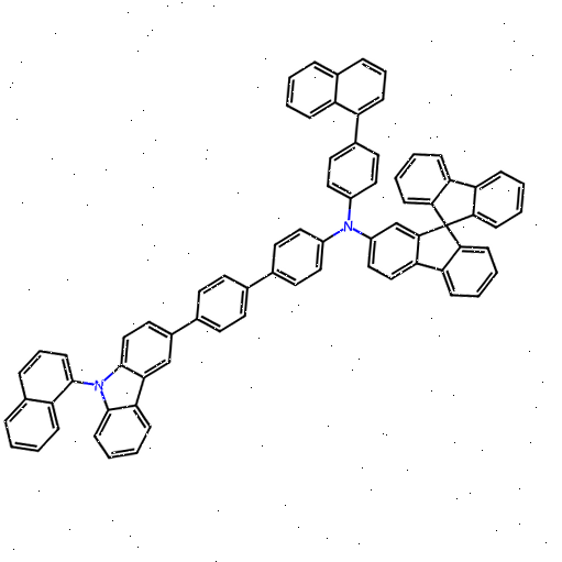 c1ccc2c(c1)-c1ccccc1C21c2ccccc2-c2ccc(N(c3ccc(-c4ccc(-c5ccc6c(c5)c5ccccc5n6-c5cccc6ccccc56)cc4)cc3)c3ccc(-c4cccc5ccccc45)cc3)cc21